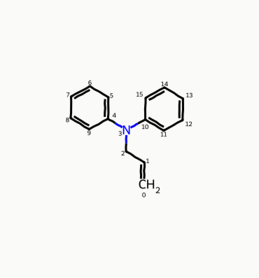 C=CCN(c1ccccc1)c1ccccc1